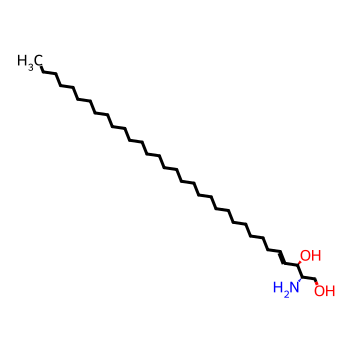 CCCCCCCCCCCCCCCCCCCCCCCCCCCC/C=C/[C@@H](O)[C@@H](N)CO